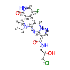 O=C(NCC(O)CCl)c1cnn2ccc(N3CCC[C@@H]3c3cc(F)c[nH]c3=O)nc12